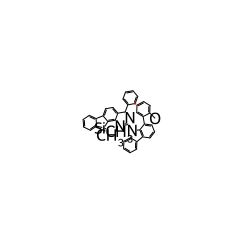 C[Si]1(C)c2ccccc2-c2ccc3c(-c4ccccc4)nc(-n4c5ccccc5c5ccc6oc7ccccc7c6c54)nc3c21